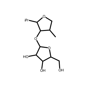 CC(C)C1OCC(C)C1OC1OC(CO)C(O)C1O